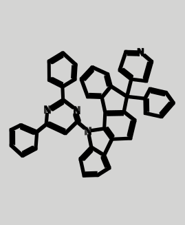 c1ccc(-c2cc(-n3c4ccccc4c4ccc5c(c43)-c3ccccc3C5(c3ccccc3)c3ccncc3)nc(-c3ccccc3)n2)cc1